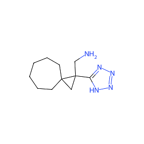 NCC1(c2nnn[nH]2)CC12CCCCCC2